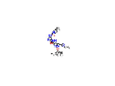 Cc1ncc(NC(=O)CN2CCC[C@H](C)C2)cc1NC(=O)c1cnc2c(c1)cc(-c1cnn(C)c1)n2COCC[Si](C)(C)C